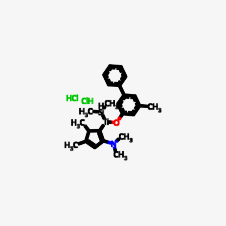 CC1=CC(N(C)C)=[C]([Ti]([O]c2cc(C)cc(-c3ccccc3)c2)[SiH](C)C)C1C.Cl.Cl